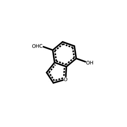 O=Cc1ccc(O)c2occc12